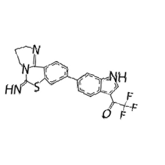 N=C1Sc2cc(-c3ccc4c(C(=O)C(F)(F)F)c[nH]c4c3)ccc2C2=NCCCN12